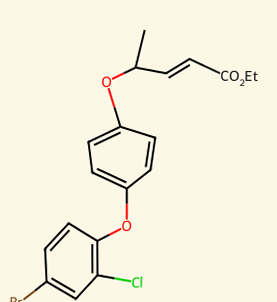 CCOC(=O)/C=C/C(C)Oc1ccc(Oc2ccc(Br)cc2Cl)cc1